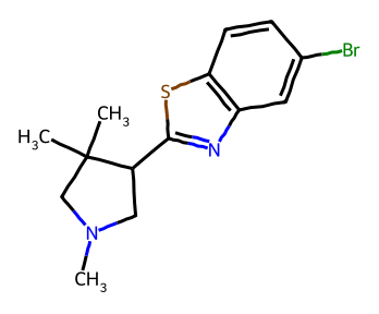 CN1CC(c2nc3cc(Br)ccc3s2)C(C)(C)C1